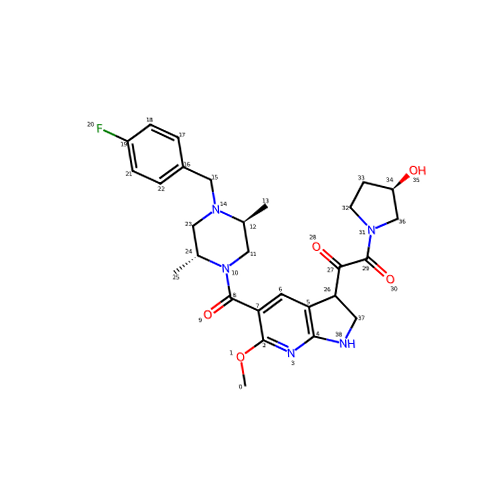 COc1nc2c(cc1C(=O)N1C[C@H](C)N(Cc3ccc(F)cc3)C[C@H]1C)C(C(=O)C(=O)N1CC[C@@H](O)C1)CN2